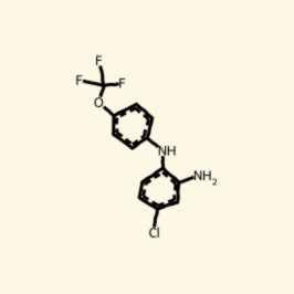 Nc1cc(Cl)ccc1Nc1ccc(OC(F)(F)F)cc1